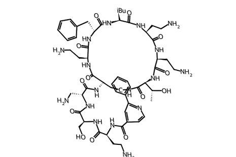 CC[C@H](C)[C@@H]1NC(=O)[C@@H](Cc2ccccc2)NC(=O)[C@H](CCN)NC(=O)[C@@H](NC(=O)[C@@H](CN)NC(=O)[C@H](CO)NC(=O)[C@H](CCN)NC(=O)c2ccnc(-c3ccccc3)c2)CCNC(=O)[C@H]([C@@H](C)O)NC(=O)[C@H](CCN)NC(=O)[C@H](CCN)NC1=O